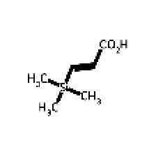 C[Si](C)(C)C=CC(=O)O